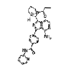 C=CC(=O)N1C2CC[C@@H](C2)C1c1nc(-c2ccc(C(=O)Nc3ccccn3)cc2)c2c(N)nccn12